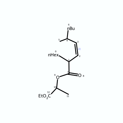 CCCCCCC(/C=C\C(C)CCCC)C(=O)OC(C)C(=O)OCC